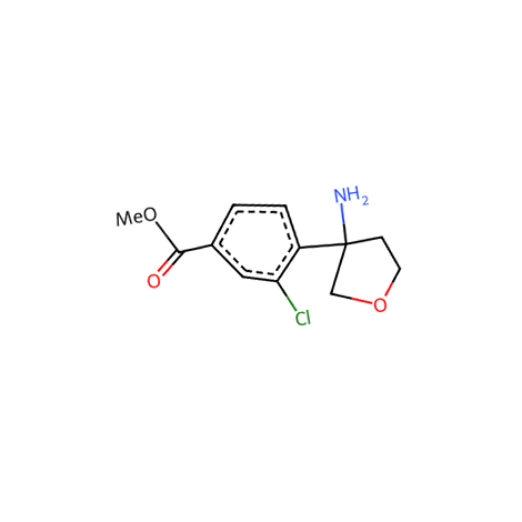 COC(=O)c1ccc(C2(N)CCOC2)c(Cl)c1